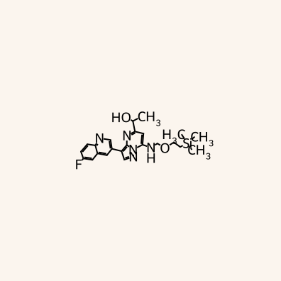 CC(O)c1cc(NCOCC[Si](C)(C)C)n2ncc(-c3cnc4ccc(F)cc4c3)c2n1